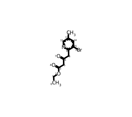 CCOC(=O)CC(=O)Cc1ncc(C)cc1Br